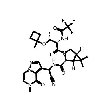 C[C@@H](OC1(C)CCC1)[C@H](NC(=O)C(F)(F)F)C(=O)N1C[C@H]2[C@@H]([C@H]1C(=O)NC(C#N)c1cnn3ccn(C)c(=O)c13)C2(C)C